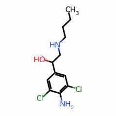 CCCCNCC(O)c1cc(Cl)c(N)c(Cl)c1